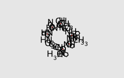 CC(C)C[C@@H]1NC(=O)[C@H](Cc2ccncc2)NC(=O)[C@H](Cc2ccccc2)NC(=O)CSCCNC(=O)[C@H](Cc2cn(C)c3ccccc23)NC(=O)[C@H](Cc2ccccc2)N(C)C(=O)[C@H](Cc2cn(C)c3ccccc23)NC(=O)CNC1=O